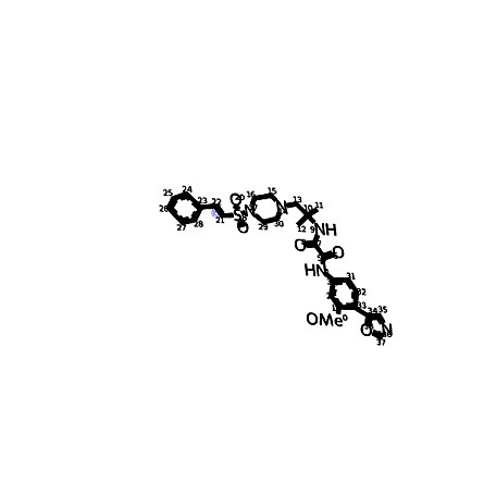 COc1cc(NC(=O)C(=O)NC(C)(C)CN2CCN(S(=O)(=O)/C=C/c3ccccc3)CC2)ccc1-c1cnco1